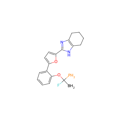 BC(F)(P)Oc1ccccc1-c1ccc(-c2nc3c([nH]2)CCCC3)o1